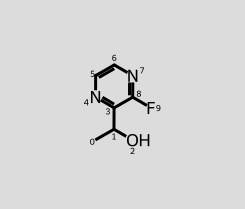 CC(O)c1nccnc1F